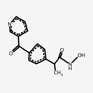 CC(C(=O)NO)c1ccc(C(=O)c2cccnc2)cc1